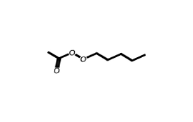 CCCCCOOC(C)=O